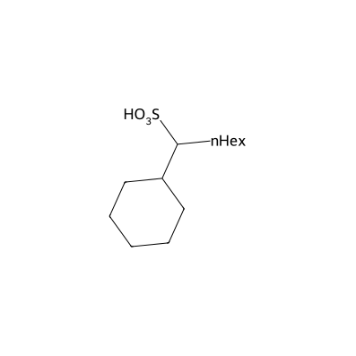 CCCCCCC(C1CCCCC1)S(=O)(=O)O